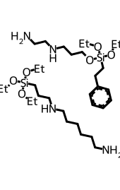 CCO[Si](CCCNCCCCCCN)(OCC)OCC.CCO[Si](CCc1ccccc1)(OCC)OCCCNCCN